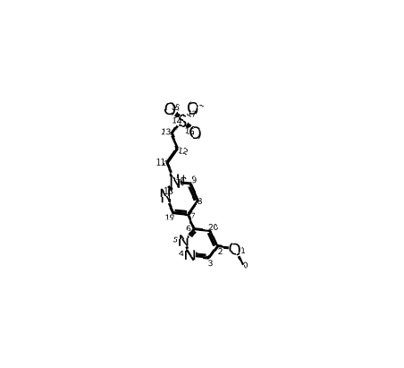 COc1cnnc(-c2cc[n+](CCCS(=O)(=O)[O-])nc2)c1